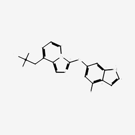 FC(F)(F)Cc1cccn2c(Nc3cc(Cl)c4cc[nH]c4c3)ncc12